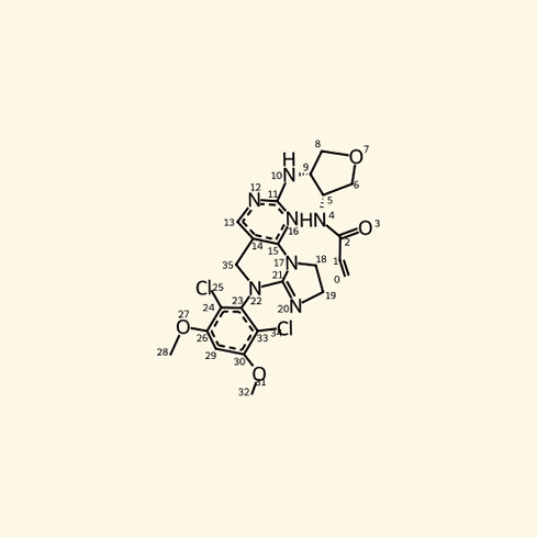 C=CC(=O)N[C@H]1COC[C@H]1Nc1ncc2c(n1)N1CCN=C1N(c1c(Cl)c(OC)cc(OC)c1Cl)C2